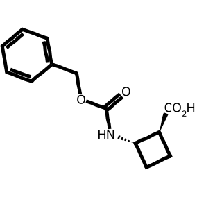 O=C(N[C@H]1CC[C@@H]1C(=O)O)OCc1ccccc1